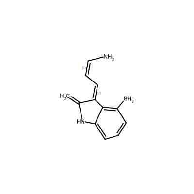 Bc1cccc2[nH]c(=C)/c(=C\C=C/N)c12